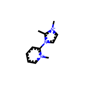 Cc1n(-c2cccc[n+]2C)cc[n+]1C